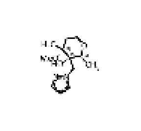 CO[C@]1(C)CCO[C@@H](C)[C@@]1(O)Cn1cccn1